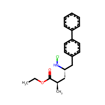 CCOC(=O)[C@H](C)C[C@@H](Cc1ccc(-c2ccccc2)cc1)NCl